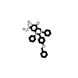 CC1(C)CC(=O)C2=C(C1)N(c1ccccc1)C(c1ccc(OCc3ccccc3)cc1)N(c1ccccc1)C2